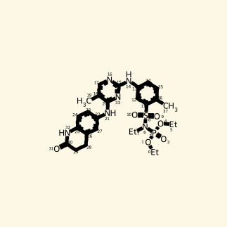 CCOP(=O)(OCC)N(CC)S(=O)(=O)c1cc(Nc2ncc(C)c(Nc3ccc4c(c3)CCC(=O)N4)n2)ccc1C